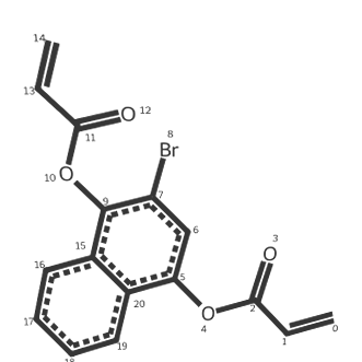 C=CC(=O)Oc1cc(Br)c(OC(=O)C=C)c2ccccc12